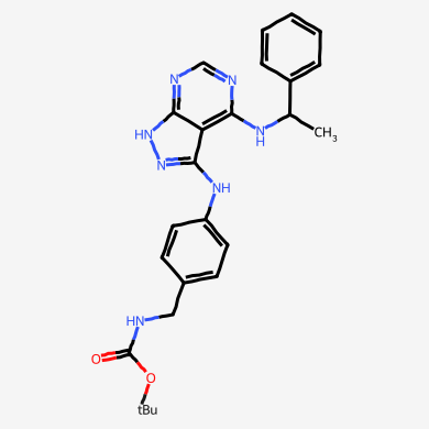 CC(Nc1ncnc2[nH]nc(Nc3ccc(CNC(=O)OC(C)(C)C)cc3)c12)c1ccccc1